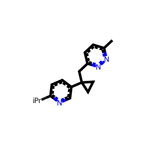 Cc1ccc(CC2(c3ccc(C(C)C)nc3)CC2)nn1